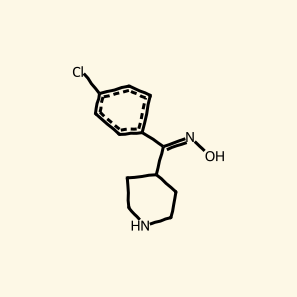 ON=C(c1ccc(Cl)cc1)C1CCNCC1